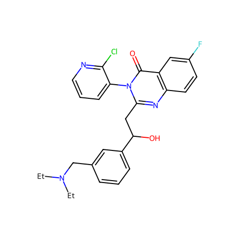 CCN(CC)Cc1cccc(C(O)Cc2nc3ccc(F)cc3c(=O)n2-c2cccnc2Cl)c1